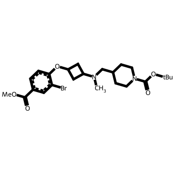 COC(=O)c1ccc(OC2CC(N(C)CC3CCN(C(=O)OC(C)(C)C)CC3)C2)c(Br)c1